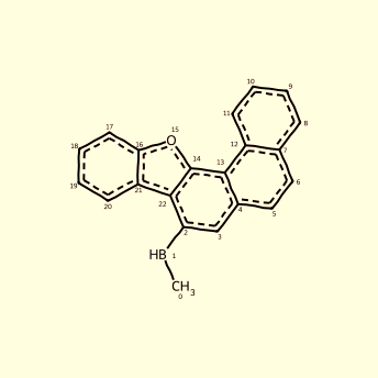 CBc1cc2ccc3ccccc3c2c2oc3ccccc3c12